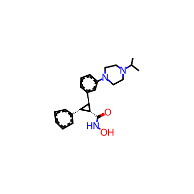 CC(C)N1CCN(c2cccc([C@H]3[C@H](C(=O)NO)[C@@H]3c3ccccc3)c2)CC1